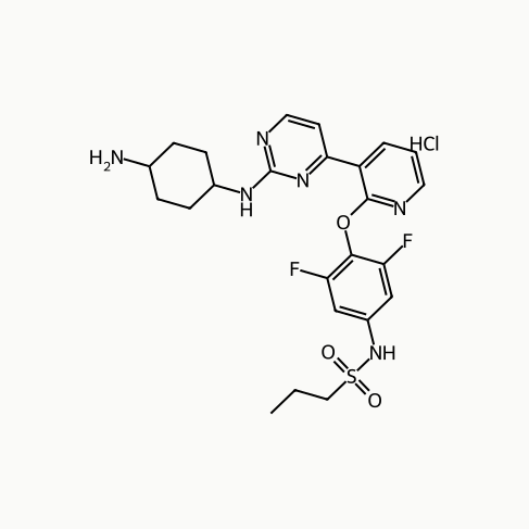 CCCS(=O)(=O)Nc1cc(F)c(Oc2ncccc2-c2ccnc(NC3CCC(N)CC3)n2)c(F)c1.Cl